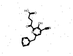 N#Cc1cc(Cc2ccccc2)nc(C(=O)CCC(=O)O)c1O